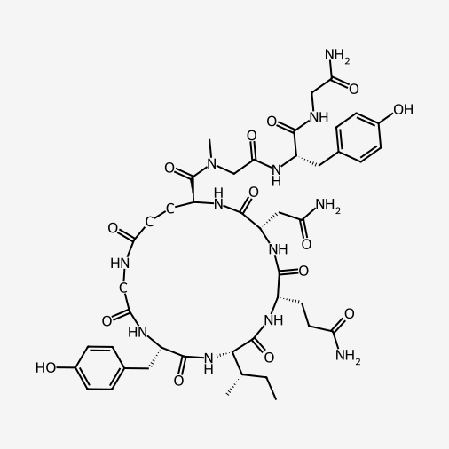 CC[C@H](C)[C@@H]1NC(=O)[C@H](Cc2ccc(O)cc2)NC(=O)CNC(=O)CC[C@@H](C(=O)N(C)CC(=O)N[C@@H](Cc2ccc(O)cc2)C(=O)NCC(N)=O)NC(=O)[C@H](CC(N)=O)NC(=O)[C@H](CCC(N)=O)NC1=O